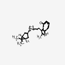 Cc1[nH]c2cccc(Cl)c2c1CCN[C@H]1C[C@@H]2[C@H](C1)C2(C)C